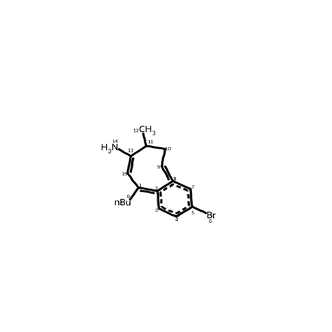 CCCCC1=c2\ccc(Br)c\c2=C/CC(C)/C(N)=C\1